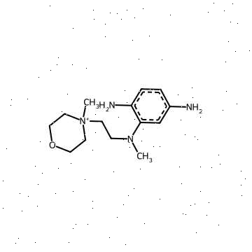 CN(CC[N+]1(C)CCOCC1)c1cc(N)ccc1N